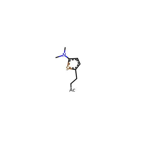 CC(=O)CCc1ccc(N(C)C)s1